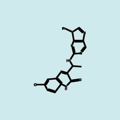 CC(Nc1ncc2ncn(C(C)C)c2n1)c1cc2cc(Cl)ccc2[nH]c1=O